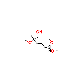 CO[SiH](CCC[Si](C)(CO)OC)OC